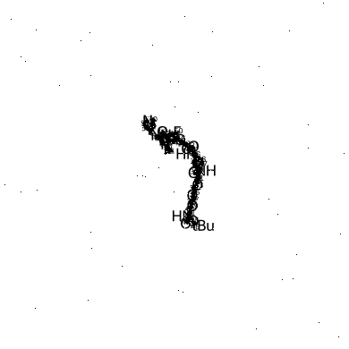 Cc1cc(CNCc2cn(C3CC3)c3cc(OCCOC(=O)NCc4ccc(NC(=O)CCOCCOCCOCCNC(=O)OC(C)(C)C)cc4)c(F)cc3c2=O)ccn1